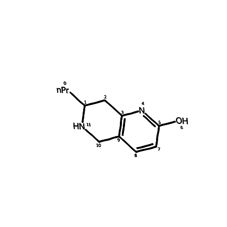 CCCC1Cc2nc(O)ccc2CN1